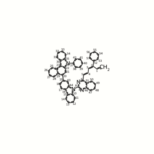 C=C/C(=C\C=C\c1nc(-n2c3ccccc3c3ccc(-c4cc5c(c6ccccc46)c4ccccc4n5-c4ccccc4)cc32)nc2ccccc12)c1ccccc1